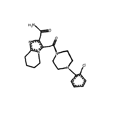 NC(=O)c1nc2n(c1C(=O)N1CCN(c3ccccc3Cl)CC1)CCCC2